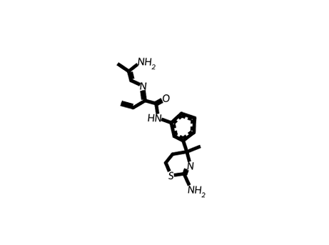 C=C/C(=N\C=C(\C)N)C(=O)Nc1cccc(C2(C)CCSC(N)=N2)c1